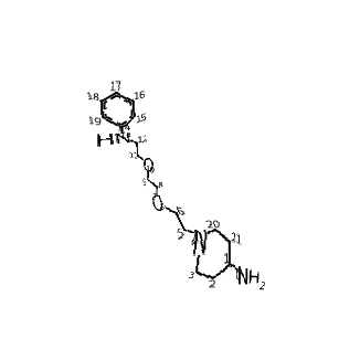 NC1CCN(CCOCCOCCNc2ccccc2)CC1